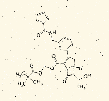 C[C@@H](O)[C@H]1C(=O)N2C(C(=O)OCOC(=O)C(C)(C)C)=C(c3cccc(CNC(=O)c4cccs4)c3)C[C@H]12